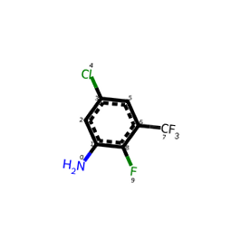 Nc1cc(Cl)cc(C(F)(F)F)c1F